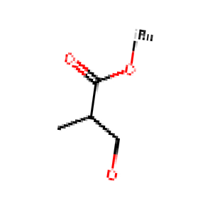 CCC(C)OC(=O)C(C)C[O]